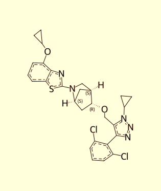 Clc1cccc(Cl)c1-c1nnn(C2CC2)c1CO[C@@H]1C[C@@H]2C[C@H]1CN2c1nc2c(OC3CC3)cccc2s1